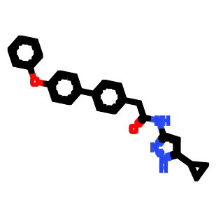 O=C(Cc1ccc(-c2ccc(Oc3ccccc3)cc2)cc1)Nc1cc(C2CC2)[nH]n1